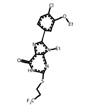 CCOc1cc(-c2nc3c(=O)[nH]c(SCCC(F)(F)F)nc3n2CC)ccc1Cl